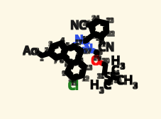 CC(=O)Cc1ccc2c(c1)c1cc(Cl)ccc1c1c2nc(-c2c(C#N)cccc2C#N)n1COCC[Si](C)(C)C